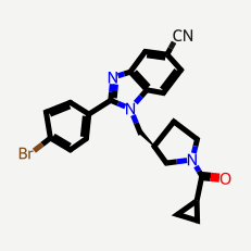 N#Cc1ccc2c(c1)nc(-c1ccc(Br)cc1)n2C[C@H]1CCN(C(=O)C2CC2)C1